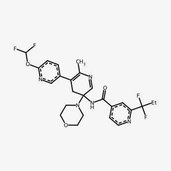 CCC(F)(F)c1cc(C(=O)NC2(N3CCOCC3)C=NC(C)=C(c3ccc(OC(F)F)nc3)C2)ccn1